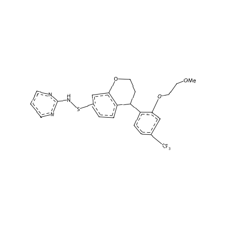 COCCOc1cc(C(F)(F)F)ccc1C1CCOc2cc(SNc3ncccn3)ccc21